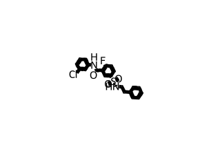 O=C(Nc1cccc(Cl)c1)c1cc(S(=O)(=O)NCCc2ccccc2)ccc1F